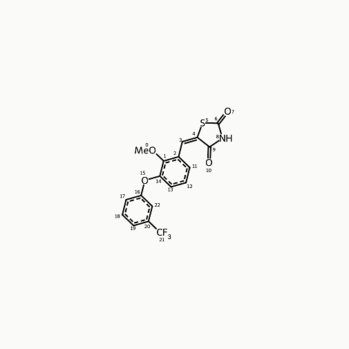 COc1c(C=C2SC(=O)NC2=O)cccc1Oc1cccc(C(F)(F)F)c1